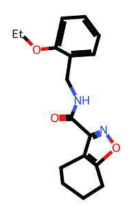 CCOc1ccccc1CNC(=O)c1noc2c1CCCC2